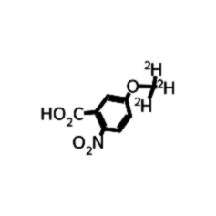 [2H]C([2H])([2H])Oc1ccc([N+](=O)[O-])c(C(=O)O)c1